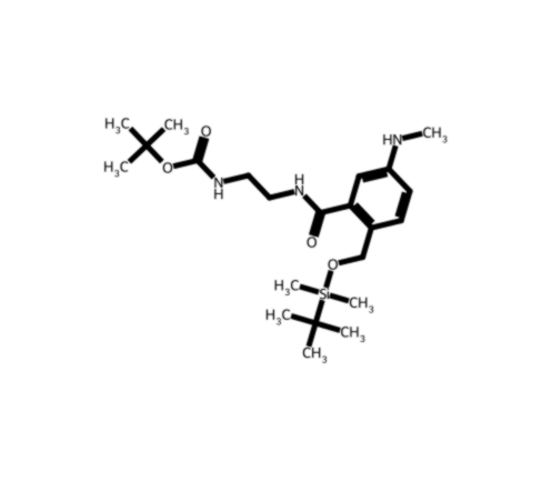 CNc1ccc(CO[Si](C)(C)C(C)(C)C)c(C(=O)NCCNC(=O)OC(C)(C)C)c1